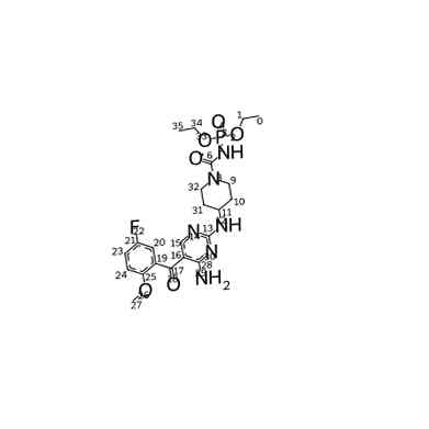 CCOP(=O)(NC(=O)N1CCC(Nc2ncc(C(=O)c3cc(F)ccc3OC)c(N)n2)CC1)OCC